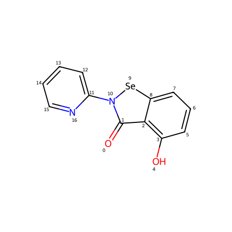 O=c1c2c(O)cccc2[se]n1-c1ccccn1